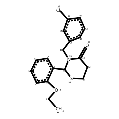 CCOc1ccccc1C1SCCC(=O)N1Cc1cccc(Cl)c1